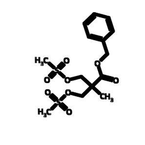 CC(COS(C)(=O)=O)(COS(C)(=O)=O)C(=O)OCc1ccccc1